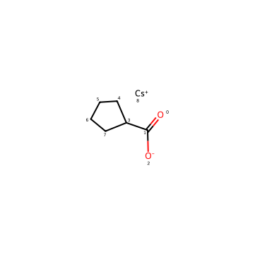 O=C([O-])C1CCCC1.[Cs+]